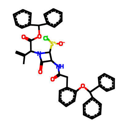 C=C(C)C(C(=O)OC(c1ccccc1)c1ccccc1)N1C(=O)C(NC(=O)Cc2ccccc2OC(c2ccccc2)c2ccccc2)C1[S+]([O-])Cl